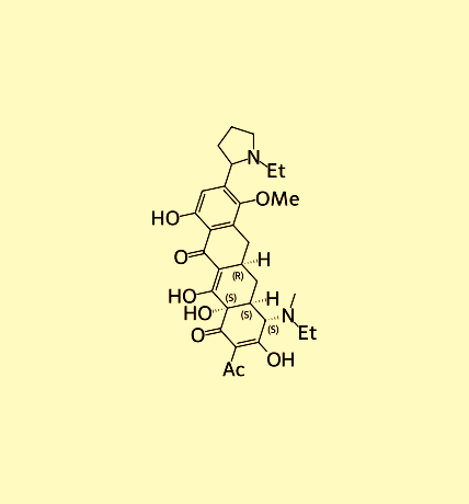 CCN1CCCC1c1cc(O)c2c(c1OC)C[C@H]1C[C@H]3[C@H](N(C)CC)C(O)=C(C(C)=O)C(=O)[C@@]3(O)C(O)=C1C2=O